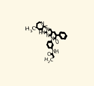 C=CC(=O)Nc1cccc(-n2c(=O)c(-c3ccccc3)cc3cnc(NC4=CC(C)CCN=C4F)nc32)c1